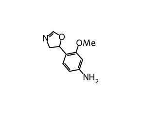 COc1cc(N)ccc1C1CN=CO1